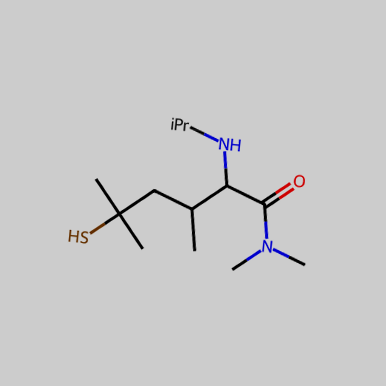 CC(C)NC(C(=O)N(C)C)C(C)CC(C)(C)S